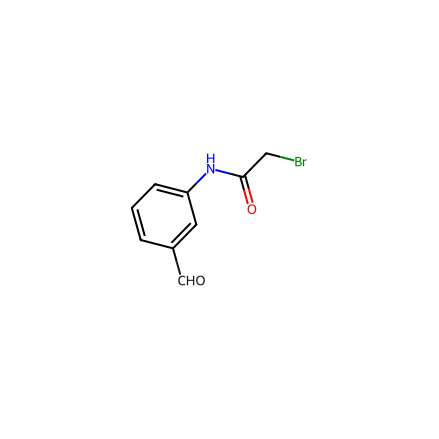 O=Cc1cccc(NC(=O)CBr)c1